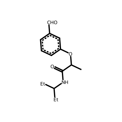 CCC(CC)NC(=O)C(C)Oc1cccc(C=O)c1